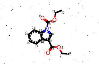 CCOC(=O)c1cn(C(=O)OCC)c2ccccc12